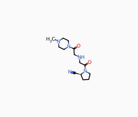 CN1CCN(C(=O)CNCC(=O)N2CCC[C@H]2C#N)CC1